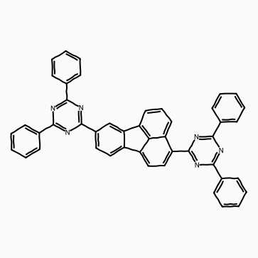 c1ccc(-c2nc(-c3ccccc3)nc(-c3ccc4c(c3)-c3cccc5c(-c6nc(-c7ccccc7)nc(-c7ccccc7)n6)ccc-4c35)n2)cc1